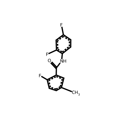 Cc1ccc(F)c(C(=O)Nc2ccc(F)cc2F)c1